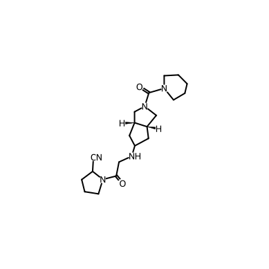 N#CC1CCCN1C(=O)CNC1C[C@@H]2CN(C(=O)N3CCCCC3)C[C@@H]2C1